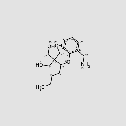 CCCCC(Oc1ccccc1CN)C(CO)(CO)CO